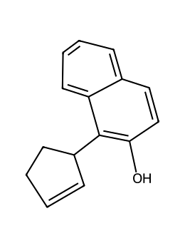 Oc1ccc2ccccc2c1C1C=CCC1